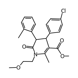 COCCN1C(=O)C(c2ccccc2C)C(c2ccc(Cl)cc2)C(C(=O)OC)=C1C